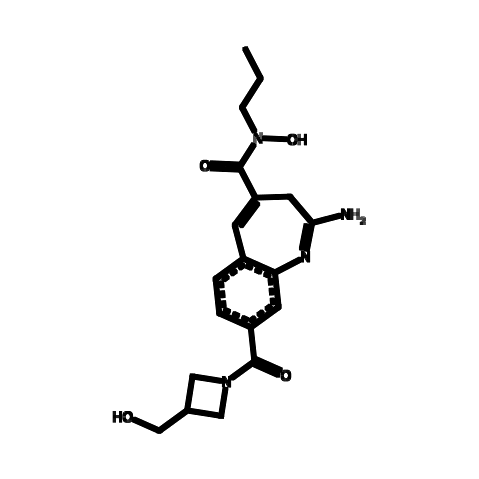 CCCN(O)C(=O)C1=Cc2ccc(C(=O)N3CC(CO)C3)cc2N=C(N)C1